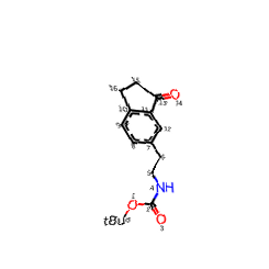 CC(C)(C)OC(=O)NCCc1ccc2c(c1)C(=O)CC2